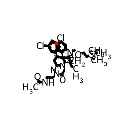 C=C(CC)[C@H]1N2CC(=O)N(CCNC(C)=O)N=C2C[C@@H](c2cccc(Cl)c2)[C@]12C(=O)N(COCC[Si](C)(C)C)c1cc(Cl)ccc12